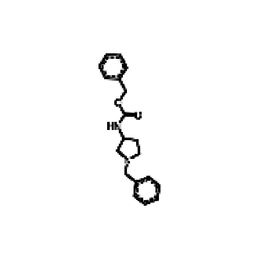 O=C(NC1CCN(Cc2ccccc2)C1)OCc1ccccc1